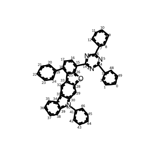 c1ccc(-c2nc(-c3ccccc3)nc(-c3ccc(-c4ccccc4)c4c3oc3cc5c(cc34)c3ccccc3n5-c3ccccc3)n2)cc1